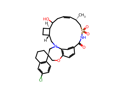 C[C@H]1/C=C\CC(O)[C@@H]2CC[C@H]2CN2C[C@@]3(CCCc4cc(Cl)ccc43)COc3ccc(cc32)C(=O)NS(=O)(=O)C1